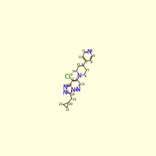 Clc1c(N2CCC(c3ccncc3)CC2)cnn2c(CC3CC3)nnc12